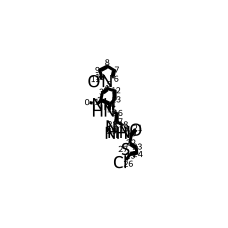 CNc1cc(-n2ccccc2=O)ccc1N/C=C(/CNC(=O)c1ccc(Cl)s1)N=N